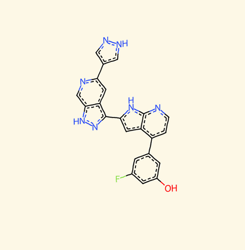 Oc1cc(F)cc(-c2ccnc3[nH]c(-c4n[nH]c5cnc(-c6cn[nH]c6)cc45)cc23)c1